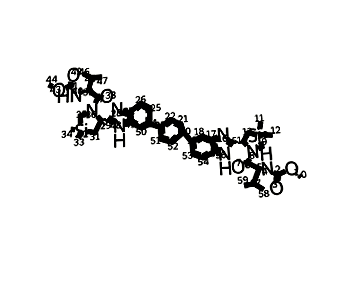 COC(=O)N[C@H](C(=O)N1C[Si](C)(C)C[C@H]1c1nc2cc(-c3ccc(-c4ccc5nc([C@@H]6C[Si](C)(C)CN6C(=O)[C@@H](NC(=O)OC)C(C)C)[nH]c5c4)cc3)ccc2[nH]1)C(C)C